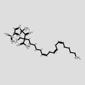 CCCCC/C=C\C/C=C\C/C=C\CCCCCC(CC)(C(=O)O)C(=O)C1(C)N=CC([N+](=O)[O-])=N1